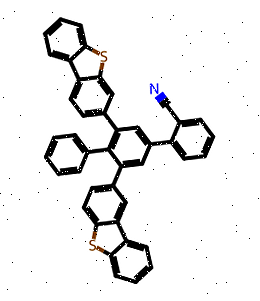 N#Cc1ccccc1-c1cc(-c2ccc3c(c2)sc2ccccc23)c(-c2ccccc2)c(-c2ccc3sc4ccccc4c3c2)c1